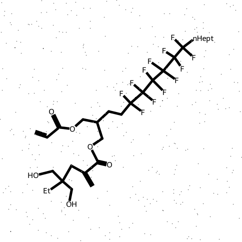 C=CC(=O)OCC(CCC(F)(F)C(F)(F)C(F)(F)C(F)(F)C(F)(F)C(F)(F)CCCCCCC)COC(=O)C(=C)CC(CC)(CO)CO